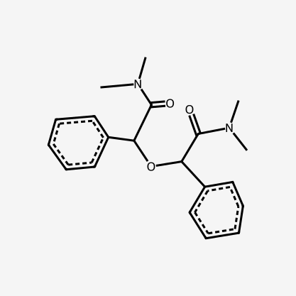 CN(C)C(=O)C(OC(C(=O)N(C)C)c1ccccc1)c1ccccc1